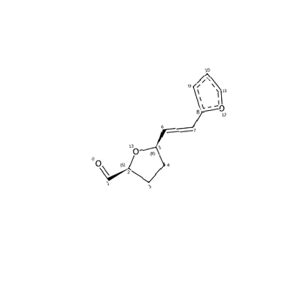 O=C[C@@H]1CC[C@H](C=Cc2ccco2)O1